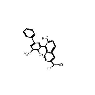 CCC(CC)c1ccc2c(-c3cc(-c4ccccc4)cc(C)c3C)[n+](C)ccc2c1